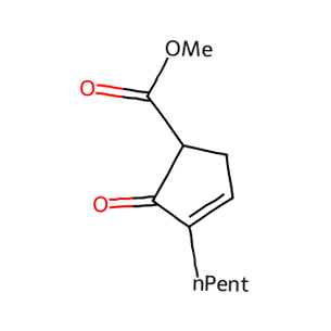 CCCCCC1=CCC(C(=O)OC)C1=O